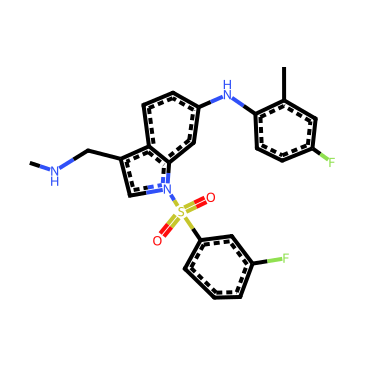 CNCc1cn(S(=O)(=O)c2cccc(F)c2)c2cc(Nc3ccc(F)cc3C)ccc12